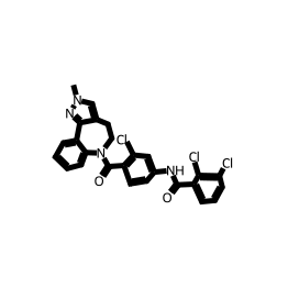 Cn1cc2c(n1)-c1ccccc1N(C(=O)c1ccc(NC(=O)c3cccc(Cl)c3Cl)cc1Cl)CC2